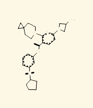 O=C(Nc1cccc(S(=O)(=O)C2CCCC2)c1)c1ccc(N2CC(O)C2)nc1N1CCC2(CC1)CC2